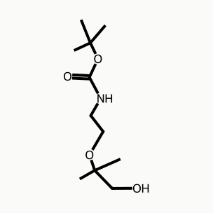 CC(C)(C)OC(=O)NCCOC(C)(C)CO